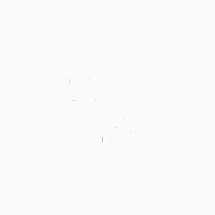 O=S(=O)(OCCOC(F)C(F)F)C(F)(F)F